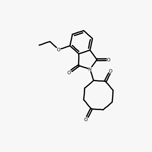 CCOc1cccc2c1C(=O)N(C1CCC(=O)CCCC1=O)C2=O